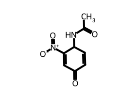 CC(=O)NC1C=CC(=O)C=C1[N+](=O)[O-]